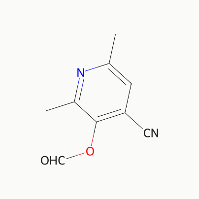 Cc1cc(C#N)c(OC=O)c(C)n1